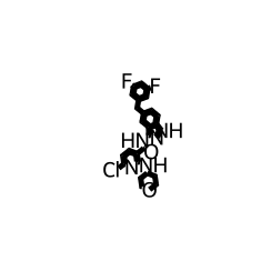 O=C(Nc1n[nH]c2ccc(Cc3cc(F)cc(F)c3)cc12)c1ccc(Cl)nc1NC1CCOCC1